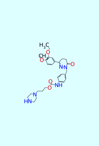 CCOc1cc(C2=NN(Cc3ccc(NC(=O)OCCCN4CCNCC4)cc3)C(=O)CC2)ccc1OC